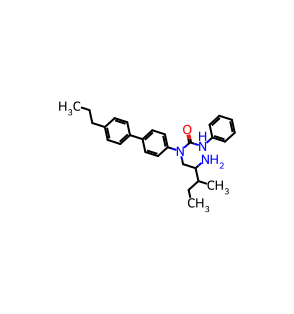 CCCc1ccc(-c2ccc(N(CC(N)C(C)CC)C(=O)Nc3ccccc3)cc2)cc1